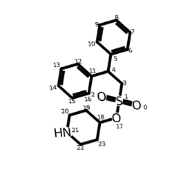 O=S(=O)(CC(c1ccccc1)c1ccccc1)OC1CCNCC1